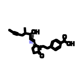 CC#CCC(C)[C@H](O)/C=C/[C@H]1CCC(=O)N1CCc1ccc(C(=O)O)cc1